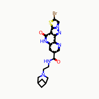 O=C(NCCN1CC2CC(C2)C1)c1cnc2c(c1)[nH]c(=O)c1c2nn2cc(Br)sc12